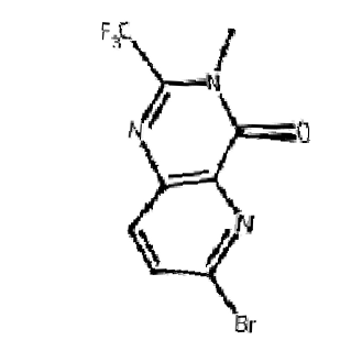 Cn1c(C(F)(F)F)nc2ccc(Br)nc2c1=O